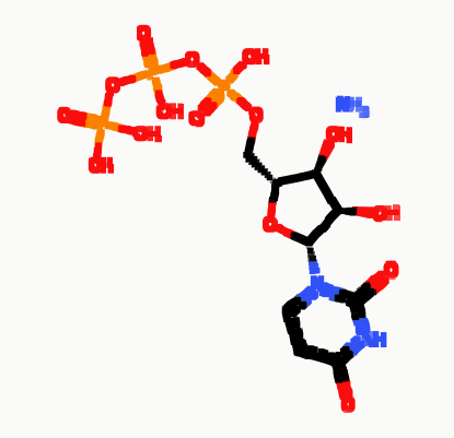 N.O=c1ccn([C@@H]2O[C@H](COP(=O)(O)OP(=O)(O)OP(=O)(O)O)[C@@H](O)[C@H]2O)c(=O)[nH]1